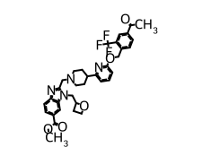 COC(=O)c1ccc2nc(CN3CCC(c4cccc(OCc5ccc(C(C)=O)cc5C(F)(F)F)n4)CC3)n(CC3CCO3)c2c1